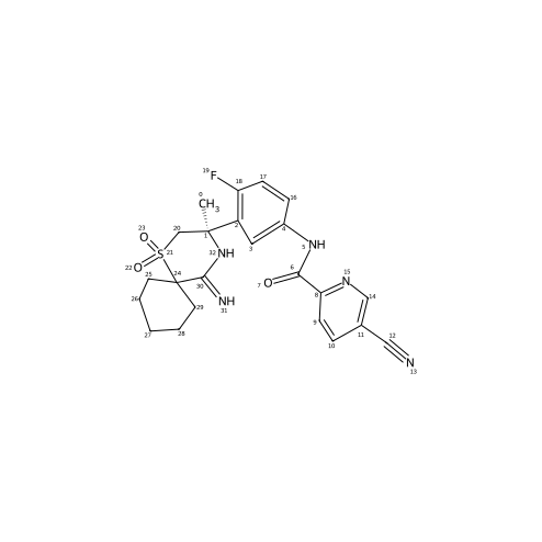 C[C@@]1(c2cc(NC(=O)c3ccc(C#N)cn3)ccc2F)CS(=O)(=O)C2(CCCCC2)C(=N)N1